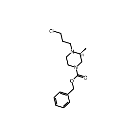 C[C@H]1CN(C(=O)OCc2ccccc2)CCN1CCCCl